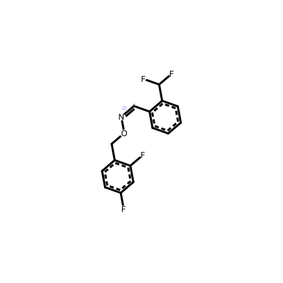 Fc1ccc(CO/N=[C]\c2ccccc2C(F)F)c(F)c1